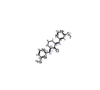 CSc1cc(/C=C2\CCC/C(=C\c3nccc(SC)n3)C2=O)ncn1